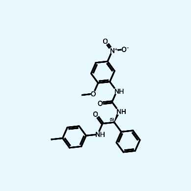 COc1ccc([N+](=O)[O-])cc1NC(=O)N[C@H](C(=O)Nc1ccc(C)cc1)c1ccccc1